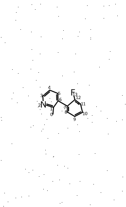 Cc1ncccc1-c1ccccc1F